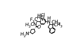 CN(C(=O)[C@@H]1CC[C@H](N)C1)[C@@H](c1ccc(NC2Cc3ccccc3C2(C)C)cn1)C(F)(F)F.Cl.Cl